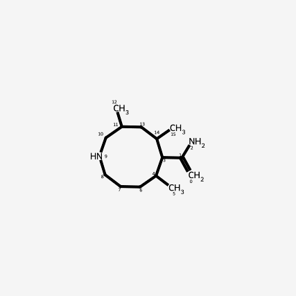 C=C(N)C1C(C)CCCNCC(C)CC1C